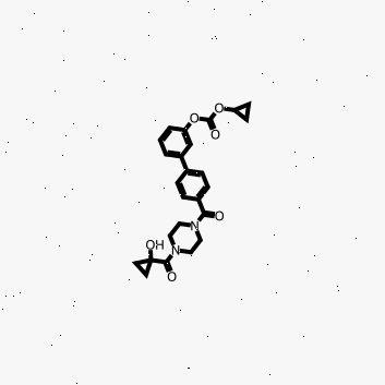 O=C(Oc1cccc(-c2ccc(C(=O)N3CCN(C(=O)C4(O)CC4)CC3)cc2)c1)OC1CC1